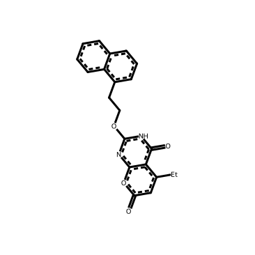 CCc1cc(=O)oc2nc(OCCc3cccc4ccccc34)[nH]c(=O)c12